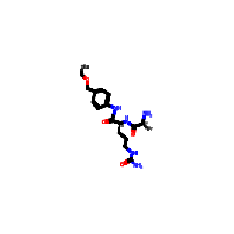 CC(C)[C@H](N)C(=O)N[C@@H](CCCNC(N)=O)C(=O)Nc1ccc(COCC(C)(C)C)cc1